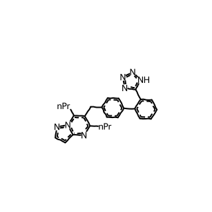 CCCc1nc2ccnn2c(CCC)c1Cc1ccc(-c2ccccc2-c2nnn[nH]2)cc1